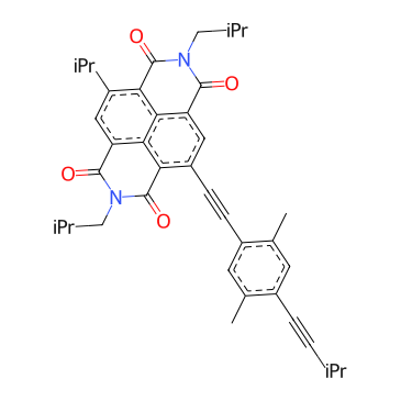 Cc1cc(C#CC(C)C)c(C)cc1C#Cc1cc2c3c(c(C(C)C)cc4c3c1C(=O)N(CC(C)C)C4=O)C(=O)N(CC(C)C)C2=O